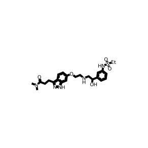 CCS(=O)(=O)Nc1cccc(C(O)CNCCOc2ccc3c(CCC(=O)N(C)C)n[nH]c3c2)c1